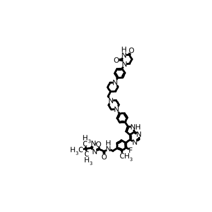 Cc1c(CNC(=O)c2nc(C(C)(C)C)no2)ccc(-c2ncnc3[nH]c(-c4ccc(N5CCN(CC6CCN(c7ccc(N8CCC(=O)NC8=O)cc7)CC6)CC5)cc4)cc23)c1F